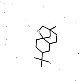 CC12CCC3CC(C(C)(C)C)CCC3(OC1)O2